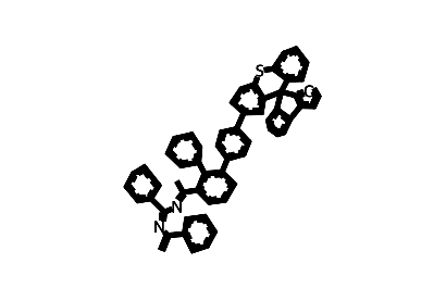 C=C(/N=C(\N=C(/C)c1cccc(-c2ccc(-c3ccc4c(c3)C3(c5ccccc5S4)c4ccccc4-c4ccccc43)cc2)c1-c1ccccc1)c1ccccc1)c1ccccc1